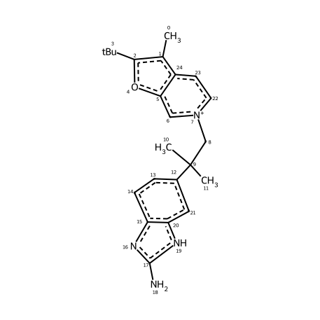 Cc1c(C(C)(C)C)oc2c[n+](CC(C)(C)c3ccc4nc(N)[nH]c4c3)ccc12